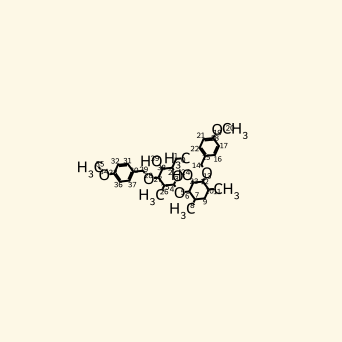 CCC1OC(OC2C(C)CC(C)C(OCc3ccc(OC)cc3)C2O)C(C)C(OCc2ccc(OC)cc2)C1O